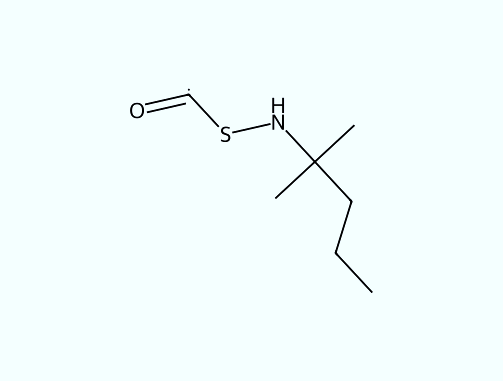 CCCC(C)(C)NS[C]=O